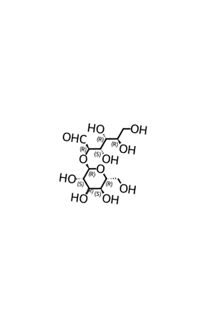 O=C[C@H](O[C@H]1O[C@H](CO)[C@@H](O)[C@@H](O)[C@@H]1O)[C@@H](O)[C@H](O)[C@H](O)CO